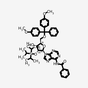 COc1ccc(C(OC[C@H]2O[C@@H](n3cnc4c(NC(=O)c5ccccc5)ncnc43)[C@H](O[Si](C(C)C)(C(C)C)C(C)C)[C@@H]2O)(c2ccccc2)c2ccc(OC)cc2)cc1